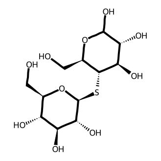 OC[C@H]1O[C@@H](S[C@H]2[C@H](O)[C@@H](O)C(O)O[C@@H]2CO)[C@H](O)[C@@H](O)[C@@H]1O